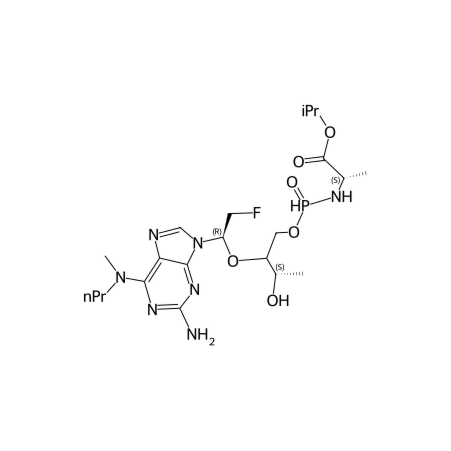 CCCN(C)c1nc(N)nc2c1ncn2[C@@H](CF)OC(CO[PH](=O)N[C@@H](C)C(=O)OC(C)C)[C@H](C)O